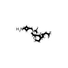 C[C@H]1C[C@@]2(CCN1CC1CC(N)C1)OCCc1cc(CC(F)F)sc12